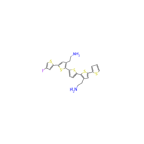 NCCc1cc(-c2cccs2)sc1-c1ccc(-c2sc(-c3cc(I)cs3)cc2CCN)s1